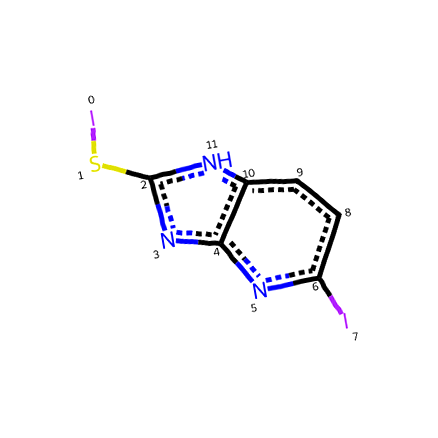 ISc1nc2nc(I)ccc2[nH]1